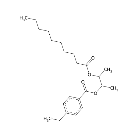 CCCCCCCCCC(=O)OC(C)C(C)OC(=O)c1ccc(CC)cc1